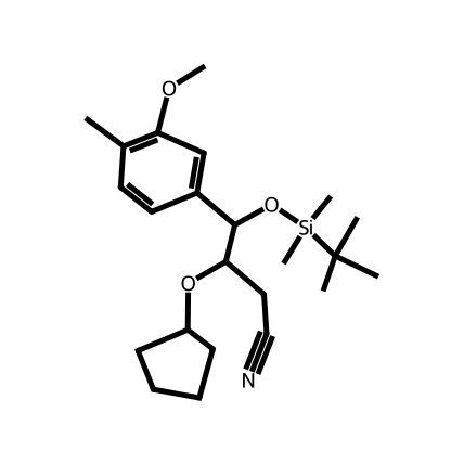 COc1cc(C(O[Si](C)(C)C(C)(C)C)C(CC#N)OC2CCCC2)ccc1C